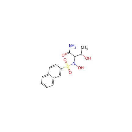 CC(O)C(C(N)=O)N(O)S(=O)(=O)c1ccc2ccccc2c1